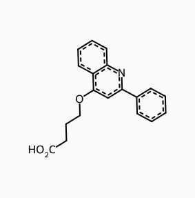 O=C(O)CCCOc1cc(-c2ccccc2)nc2ccccc12